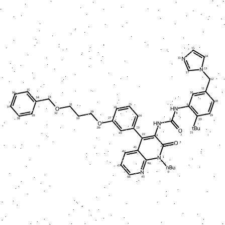 CCCCn1c(=O)c(NC(=O)Nc2cc(Cn3ccnc3)ccc2C(C)(C)C)c(-c2cccc(OCCCOCc3ccccc3)c2)c2cccnc21